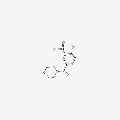 O=C(c1ccc(Br)c([SH](=O)=O)c1)N1CCOCC1